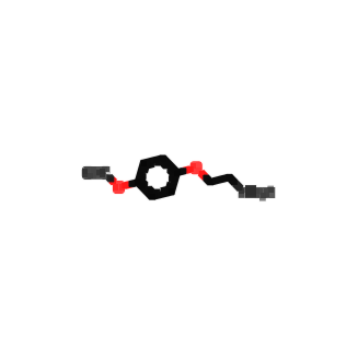 CCCCCCCCCOc1ccc(OC=O)cc1